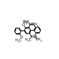 COc1ccccc1-c1cc(C(C)C)c(-c2c(Br)cccc2OC)c(C(C)C)c1OC